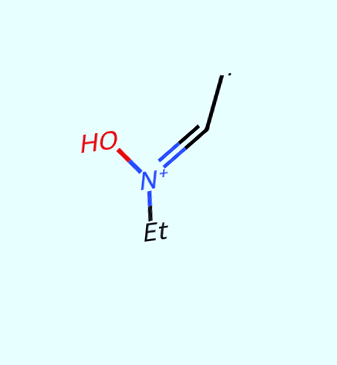 [CH2]C=[N+](O)CC